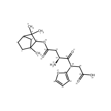 CC12CCC(C1)C(C)(C)C2OC(=O)C[C@H](N)C(=O)N(CC(=O)O)c1ccco1